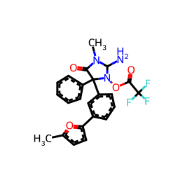 Cc1ccc(-c2cccc(C3(c4ccccc4)C(=O)N(C)C(N)N3OC(=O)C(F)(F)F)c2)o1